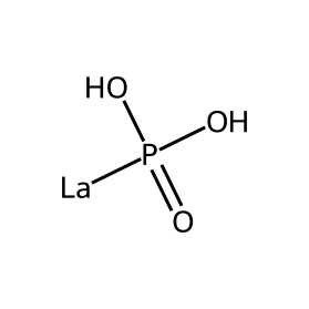 O=[P](O)(O)[La]